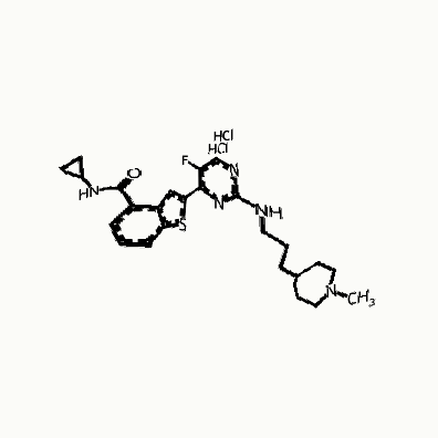 CN1CCC(CCCNc2ncc(F)c(-c3cc4c(C(=O)NC5CC5)cccc4s3)n2)CC1.Cl.Cl